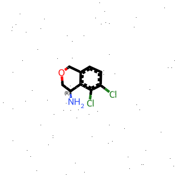 N[C@H]1COCc2ccc(Cl)c(Cl)c21